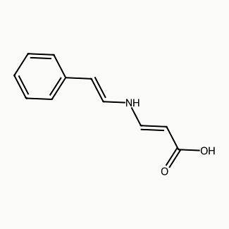 O=C(O)C=CNC=Cc1ccccc1